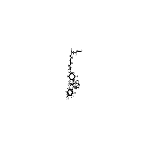 C=CCN(C)CCCCCCOC1CCC(N(OC)C(=O)Nc2ccc(C)cc2)CC1